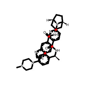 C[C@H](NC(=O)c1ccc(N2[C@@H]3CC[C@H]2C[C@@H](NC(=O)c2ccc4scnc4c2)C3)nc1)c1ccc(N2CCN(C)CC2)cc1